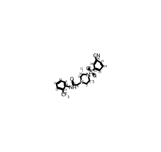 C[C@@H]1CN(CC(=O)Nc2ccccc2C(F)(F)F)C[C@H](C)N1S(=O)(=O)c1cccc(C#N)c1